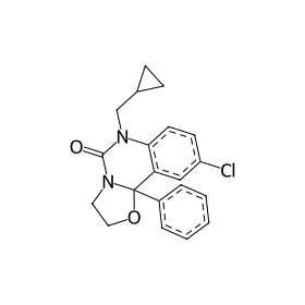 O=C1N(CC2CC2)c2ccc(Cl)cc2C2(c3ccccc3)OCCN12